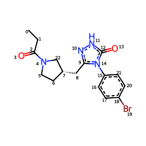 CCC(=O)N1CC[C@@H](Cc2n[nH]c(=O)n2-c2ccc(Br)cc2)C1